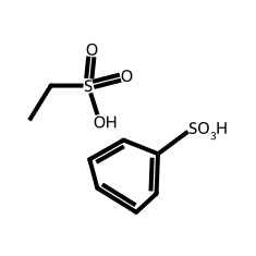 CCS(=O)(=O)O.O=S(=O)(O)c1ccccc1